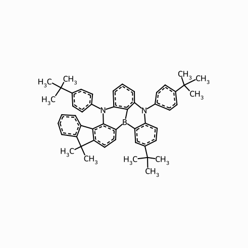 CC(C)(C)c1ccc(N2c3ccc(C(C)(C)C)cc3B3c4ccc5c(c4N(c4ccc(C(C)(C)C)cc4)c4cccc2c43)-c2ccccc2C5(C)C)cc1